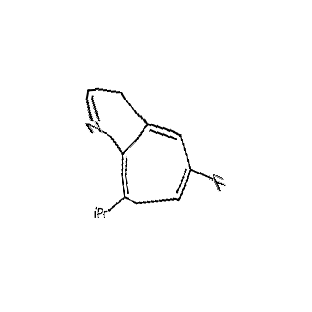 CC(C)c1cc(F)cc2c1N=CC2